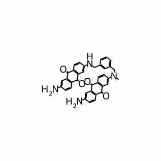 CN(Cc1cccc(CNc2ccc3c(c2)C(=O)c2ccc(N)cc2C3=O)c1)c1ccc2c(c1)C(=O)c1ccc(N)cc1C2=O